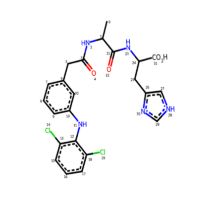 CC(NC(=O)Cc1cccc(Nc2c(Cl)cccc2Cl)c1)C(=O)NC(Cc1c[nH]cn1)C(=O)O